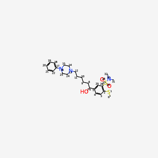 CSc1ccc(C(O)CCCCCN2CCN(c3ccccc3)CC2)cc1S(=O)(=O)N(C)C